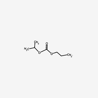 [CH2]CCOC(=O)OC(C)C